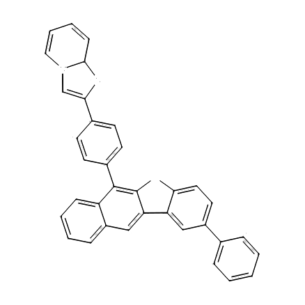 C1=CC2NC(c3ccc(-c4c5ccccc5cc5c4oc4ccc(-c6ccccc6)cc45)cc3)=CN2C=C1